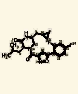 CC(C)C[C@H]1C(=O)N[C@@H](CC2CC2)CN1C(=O)c1cc(-c2ccc(F)cc2F)on1